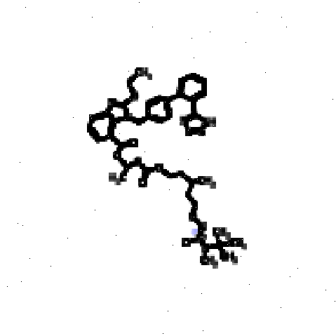 CCOc1nc2cccc(C(=O)OC(C)OC(=O)OCCC(C)CCO/N=[N+](\[O-])N(C)C(C)(C)C)c2n1Cc1ccc(-c2ccccc2-c2nnn[nH]2)cc1